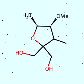 B[C@@H]1OC(CO)(CO)C(C)[C@@H]1OC